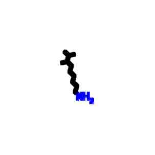 CC(C)C(C)CCCCCCN